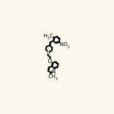 Cc1ccc2c(OCCN3CCC(=Cc4cc([N+](=O)[O-])ccc4C)CC3)cccc2n1